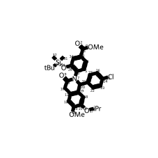 COC(=O)c1ccc(N2C(=O)Cc3cc(OC)c(OC(C)C)cc3C2c2ccc(Cl)cc2)c(O[Si](C)(C)C(C)(C)C)c1